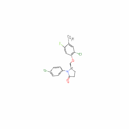 O=C(O)c1cc(Cl)c(OC[C@H]2CCC(=O)N2c2ccc(Cl)cc2)cc1F